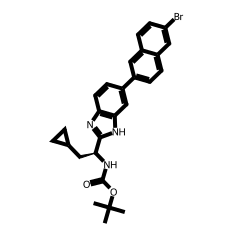 CC(C)(C)OC(=O)N[C@@H](CC1CC1)c1nc2ccc(-c3ccc4cc(Br)ccc4c3)cc2[nH]1